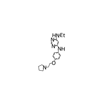 CCNc1cc(Nc2ccc(OCCN3CCCC3)cc2)ncn1